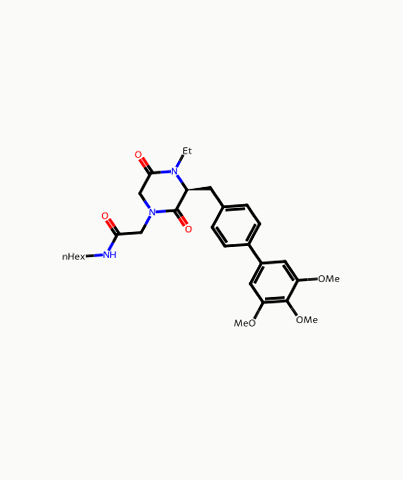 CCCCCCNC(=O)CN1CC(=O)N(CC)[C@@H](Cc2ccc(-c3cc(OC)c(OC)c(OC)c3)cc2)C1=O